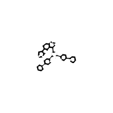 c1ccc(-c2ccc(-c3nc(-c4ccc(-c5ccccc5)cc4)nc(-c4cccc5ccc6c7ccccc7oc6c45)n3)cc2)cc1